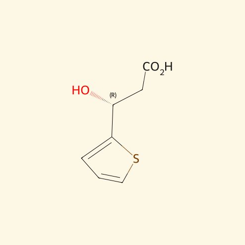 O=C(O)C[C@@H](O)c1cccs1